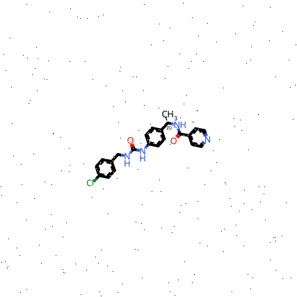 C[C@H](NC(=O)c1ccncc1)c1ccc(NC(=O)NCc2ccc(Cl)cc2)cc1